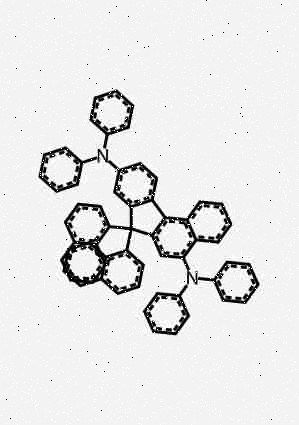 c1ccc(N(c2ccccc2)c2ccc3c(c2)C(c2cccc4ccccc24)(c2cccc4ccccc24)c2cc(N(c4ccccc4)c4ccccc4)c4ccccc4c2-3)cc1